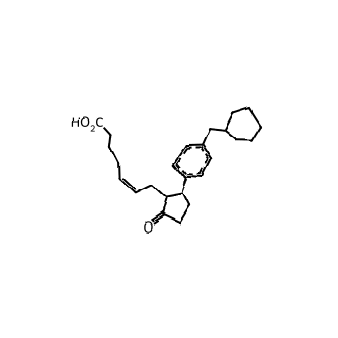 O=C(O)CCC/C=C\CC1C(=O)CC[C@@H]1c1ccc(CC2CCCCC2)cc1